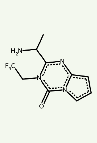 CC(N)c1nc2cccn2c(=O)n1CC(F)(F)F